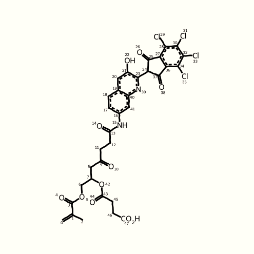 C=C(C)C(=O)OCC(CC(=O)CCC(=O)Nc1ccc2cc(O)c(C3C(=O)c4c(Cl)c(Cl)c(Cl)c(Cl)c4C3=O)nc2c1)OC(=O)CCC(=O)O